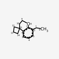 CCc1cccc2c1OCCC21CCC1